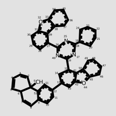 CC12C=CC=CC1C=Cc1ccc(-c3cc(-c4nc(-c5ccccc5)nc(-c5cccc6oc7ccccc7c56)n4)c4c(c3)oc3ccccc34)cc12